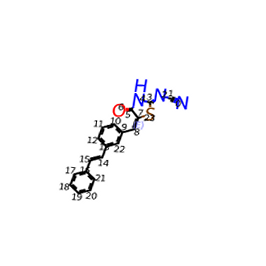 N#CN=C1NC(=O)/C(=C\c2cccc(C=Cc3ccccc3)c2)S1